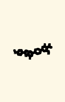 CCC1CC(N2CCC(c3cc(C)c4nc(-c5ccc(SC)cc5)cn4c3)CC2)CC(C)N1C(C)C